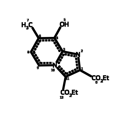 CCOC(=O)c1nc2c(O)c(C)ccn2c1C(=O)OCC